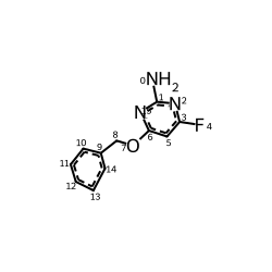 Nc1nc(F)cc(OCc2ccccc2)n1